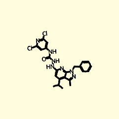 Cc1nn(Cc2ccccc2)c2nc(NNC(=O)Nc3cc(Cl)nc(Cl)c3)cc(C(C)C)c12